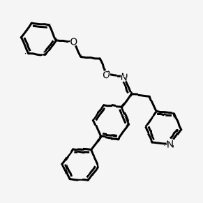 [c]1cccc(OCCON=C(Cc2ccncc2)c2ccc(-c3ccccc3)cc2)c1